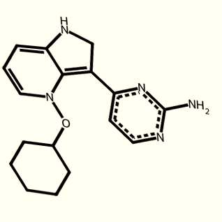 Nc1nccc(C2=C3C(=CC=CN3OC3CCCCC3)NC2)n1